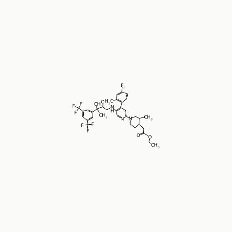 CCOC(=O)CC1CCN(c2cc(-c3ccc(F)cc3C)c(NCC(=O)C(C)(C)c3cc(C(F)(F)F)cc(C(F)(F)F)c3)cn2)CC1C